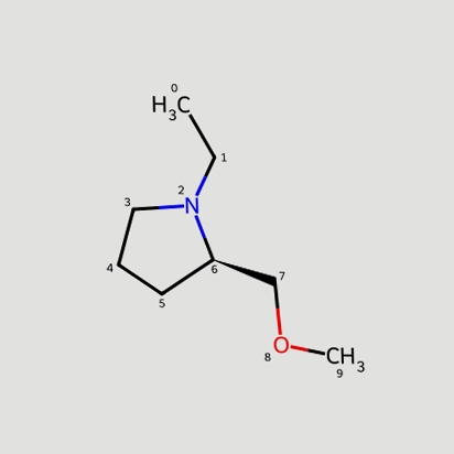 CCN1CCC[C@@H]1COC